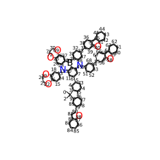 CC1(C)c2cc(-c3cc4c5c(c3)N(c3ccc6c(c3)OCCO6)c3cc6c(cc3B5c3ccc(-c5ccc7c(c5)oc5ccccc57)cc3N4c3cccc(C4C=c5oc7ccccc7c5=CC4)c3)OCCO6)ccc2-c2ccc(-c3cc4ccccc4o3)cc21